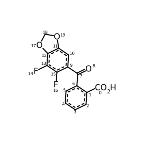 O=C(O)c1ccccc1C(=O)c1cc2c(c(F)c1F)OCO2